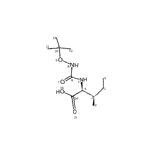 CC[C@@H](C)[C@H](NC(=O)NOC(C)(C)C)C(=O)O